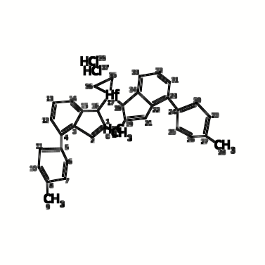 CC1=Cc2c(-c3ccc(C)cc3)cccc2[CH]1[Hf]1([CH]2C(C)=Cc3c(-c4ccc(C)cc4)cccc32)[CH2][CH2]1.Cl.Cl